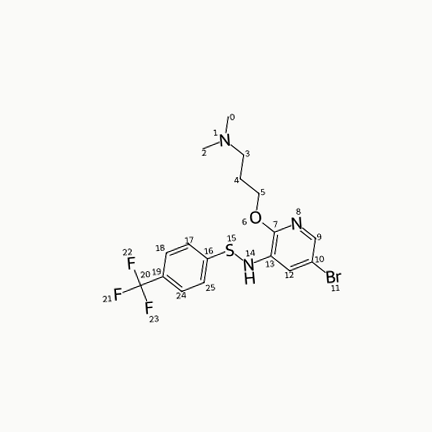 CN(C)CCCOc1ncc(Br)cc1NSc1ccc(C(F)(F)F)cc1